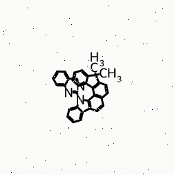 CC1(C)c2ccccc2-c2c1ccc1ccc3c4ccccc4n(-c4ncc5ccccc5n4)c3c21